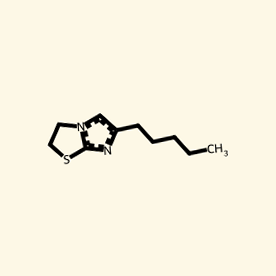 CCCCCc1cn2c(n1)SCC2